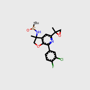 CC1(N[S+]([O-])C(C)(C)C)COc2c1cc(C1(C)CO1)nc2-c1ccc(F)c(Cl)c1